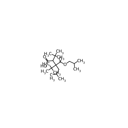 CC(C)COC(=O)C(CC(C)C)(C(C(=O)O)C(C)(C)C)C(C)(C)C